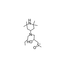 CCCCN(CC(O)C[S+](C)[O-])C1CC(C)(C)NC(C)(C)C1